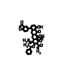 CN(C)C1C(OCc2ccccc2)=C(C(N)=O)C(=O)C2(O)C(O)=C3C(=O)c4c(O)ccc(-c5ccc6c(c5)NCO6)c4CC3CC12